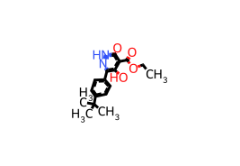 CCOC(=O)c1c(O)c(-c2ccc(C(C)(C)C)cc2)n[nH]c1=O